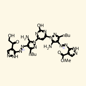 CCCCc1nn(-c2cc(-n3nc(CCCC)c(/N=N/c4[nH]ncc4C(=O)OC)c3N)nc(O)n2)c(N)c1/N=N/c1[nH]ncc1C(=O)CO